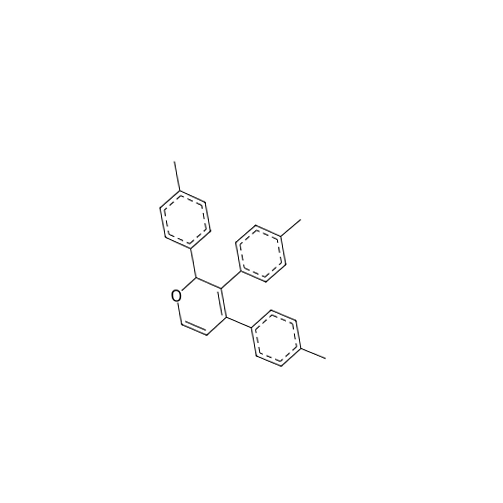 Cc1ccc(C2=C(c3ccc(C)cc3)C(c3ccc(C)cc3)OC=C2)cc1